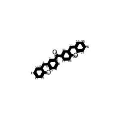 O=C(c1ccc2c(c1)Cc1ccccc1O2)c1ccc2c(c1)Cc1ccccc1O2